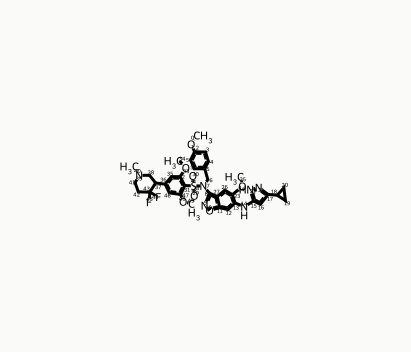 COc1ccc(CN(c2noc3cc(Nc4cc(C5CC5)n[nH]4)c(OC)cc23)S(=O)(=O)c2c(OC)cc(C3CN(C)CCC3(F)F)cc2OC)cc1